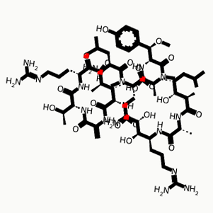 C=C(NC(=O)[C@@H](NC(=O)[C@H](O)[C@H](O)[C@H](CCCN=C(N)N)NC(=O)[C@@H](C)NC(=O)[C@H](C)[C@H](O)[C@H](C)CC(C)C)[C@@H](C)[C@@H](C)C(N)=O)C(=O)N[C@@H](C(=O)N[C@H](CCCN=C(N)N)C(=O)N[C@@H](CC(C)C)C(=O)N(C)[C@@H](CCC(N)=O)C(=O)N[C@@H](C(=O)N(C)[C@@H](C)C(=O)O)[C@H](OC)c1ccc(O)cc1)[C@@H](C)O